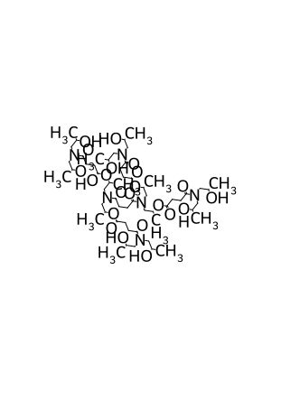 CC(O)CN(CC(C)O)C(=O)CCC(=O)OC(C)CN(CC(C)OC(=O)CCC(=O)N(CC(C)O)CC(C)O)C(=O)CCC(=O)N(CC(C)OC(=O)CCC(=O)N(CC(C)O)CC(C)O)CC(C)OC(=O)CCC(=O)N(CC(C)O)CC(C)O